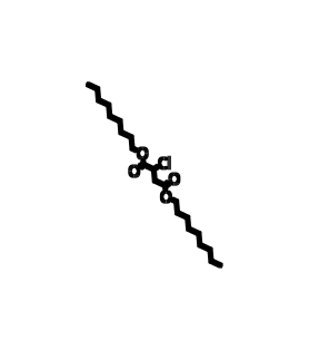 CCCCCCCCCOC(=O)CC(Cl)C(=O)OCCCCCCCCC